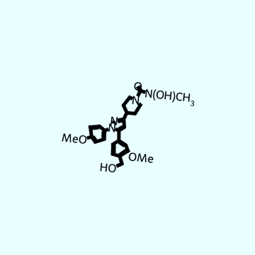 COc1ccc(-n2nc(C3CCN(C(=O)N(C)O)CC3)cc2-c2ccc(CO)c(OC)c2)cc1